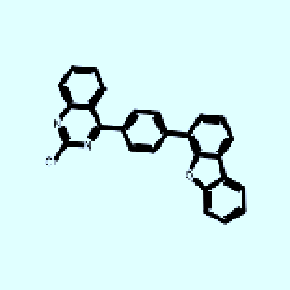 Clc1nc(-c2ccc(-c3cccc4c3oc3ccccc34)cc2)c2ccccc2n1